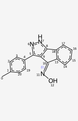 Cc1ccc(-c2n[nH]c3c2/C(=N/O)c2ccccc2-3)cc1